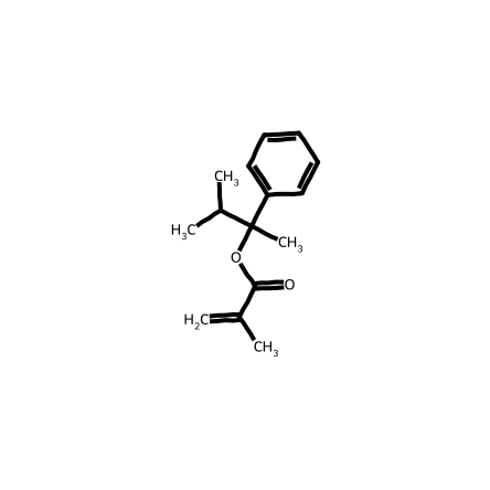 C=C(C)C(=O)OC(C)(c1ccccc1)C(C)C